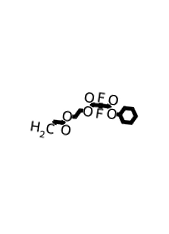 C=CC(=O)OCCOC(=O)C(F)(F)C(=O)OC1CCCCC1